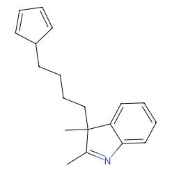 CC1=Nc2ccccc2C1(C)CCCCC1C=CC=C1